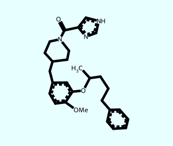 COc1ccc(CC2CCN(C(=O)c3c[nH]cn3)CC2)cc1OC(C)CCCc1ccccc1